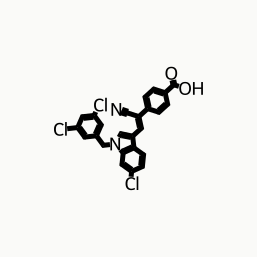 N#CC(=Cc1cn(Cc2cc(Cl)cc(Cl)c2)c2cc(Cl)ccc12)c1ccc(C(=O)O)cc1